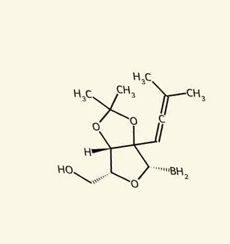 B[C@@H]1O[C@H](CO)[C@@H]2OC(C)(C)OC12C=C=C(C)C